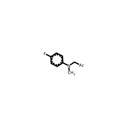 CC(=O)CN(C)c1ccc(F)cc1